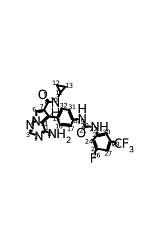 Nc1ncnn2cc(C(=O)NC3CC3)c(-c3ccc(NC(=O)Nc4cc(F)cc(C(F)(F)F)c4)cc3)c12